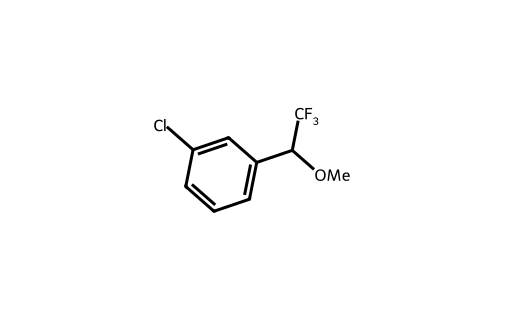 COC(c1cccc(Cl)c1)C(F)(F)F